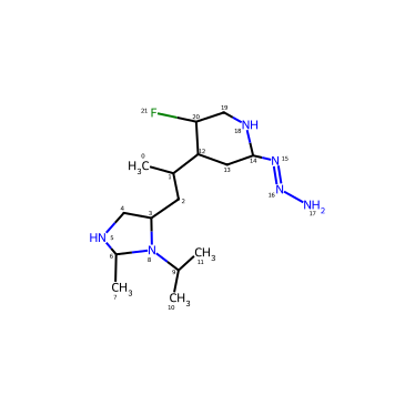 CC(CC1CNC(C)N1C(C)C)C1CC(N=NN)NCC1F